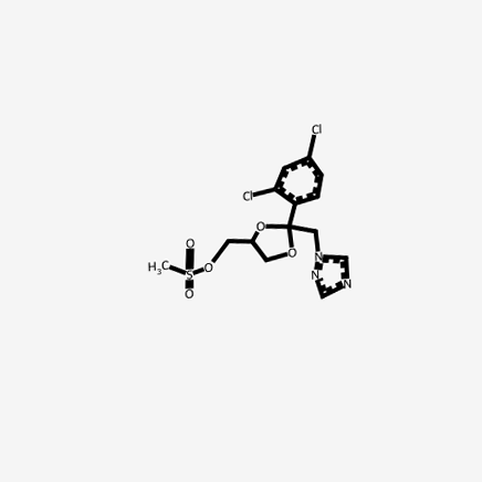 CS(=O)(=O)OCC1COC(Cn2cncn2)(c2ccc(Cl)cc2Cl)O1